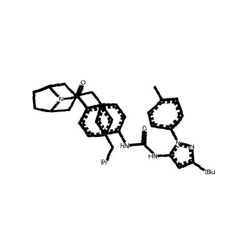 Cc1ccc(-n2nc(C(C)(C)C)cc2NC(=O)Nc2ccc(CC3CC4CCC(C3)N4C(=O)c3ccc(CC(C)C)cc3)cc2)cc1